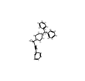 O=C(C#Cc1ccccc1)N1CCN(C(c2ccccc2)c2ccccc2)CC1